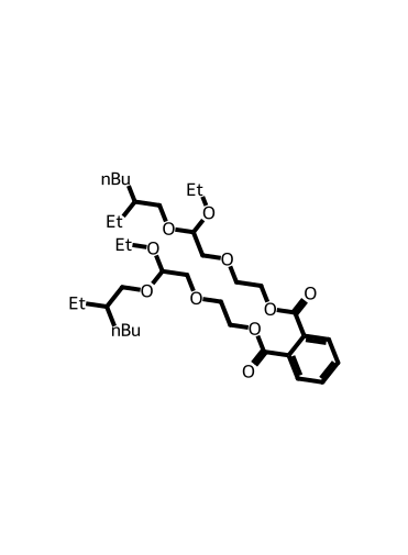 CCCCC(CC)COC(COCCOC(=O)c1ccccc1C(=O)OCCOCC(OCC)OCC(CC)CCCC)OCC